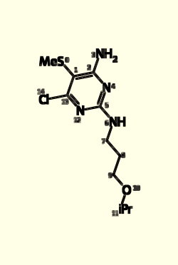 CSc1c(N)nc(NCCCOC(C)C)nc1Cl